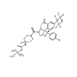 CC(C)(C)OC(=O)N=S1(=O)CCC(C(=O)N2CCC3(S(=O)(=O)c4ccc(F)cc4)c4ccc(C(F)(C(F)(F)F)C(F)(F)F)cc4NCC23)CC1